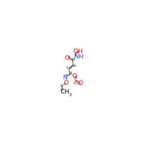 CCON=C(/C=C/C(=O)NO)OC=O